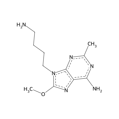 COc1nc2c(N)nc(C)nc2n1CCCCN